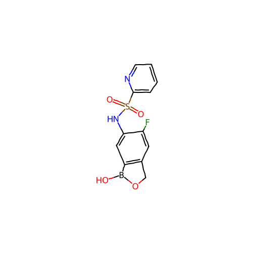 O=S(=O)(Nc1cc2c(cc1F)COB2O)c1ccccn1